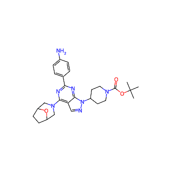 CC(C)(C)OC(=O)N1CCC(n2ncc3c(N4CC5CCC(C4)O5)nc(-c4ccc(N)cc4)nc32)CC1